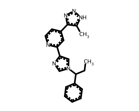 CCC(c1ccccc1)n1cnc(-c2cc(-c3nn[nH]c3C)ccn2)c1